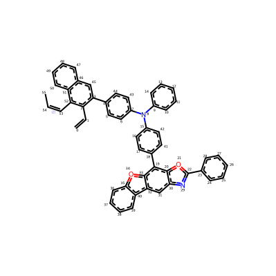 C=Cc1c(-c2ccc(N(c3ccccc3)c3ccc(-c4c5oc(-c6ccccc6)nc5cc5c4oc4ccccc45)cc3)cc2)cc2ccccc2c1/C=C\C